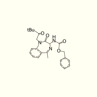 CC1=NC(NC(=O)OCc2ccccc2)C(=O)N(CC(=O)C(C)(C)C)c2ccccc21